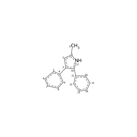 Cc1cc(-c2ccccc2)c(-c2ccccc2)[nH]1